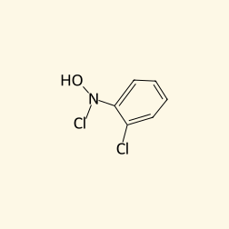 ON(Cl)c1ccccc1Cl